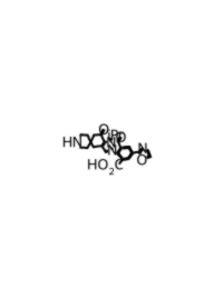 CC(C)[N+]1(C(=O)c2cc(C(=O)O)cc(-c3ncco3)c2)N=CC2=C1C(=O)CC1(CCNCC1)C2